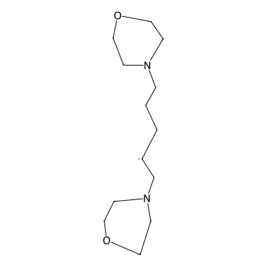 [CH](CCCN1CCOCC1)CN1CCOCC1